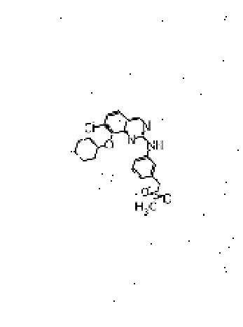 CS(=O)(=O)Cc1cccc(Nc2ncc3ccc(Cl)c(OC4CC[CH]CC4)c3n2)c1